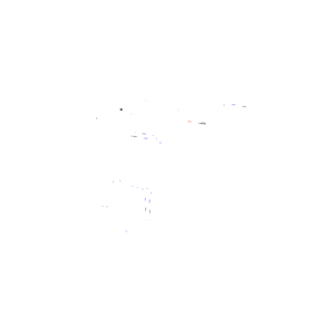 CNC(=O)ON=C(Cn1cnc(Cl)n1)C(C)(C)C